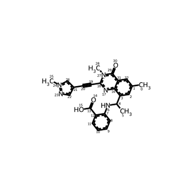 Cc1cc(C(C)Nc2ccccc2C(=O)O)c2nc(C#Cc3cnn(C)c3)n(C)c(=O)c2c1